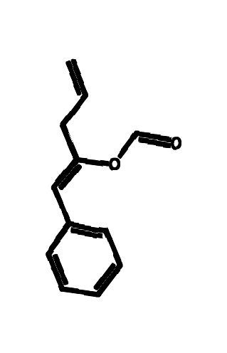 C=CCC(=Cc1ccccc1)OC=O